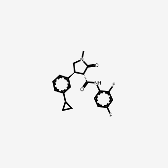 CN1C[C@H](c2cccc(C3CC3)c2)[C@@H](C(=O)Nc2ccc(F)cc2F)C1=O